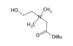 CC(C)COC(=O)C[N+](C)(C)CCO